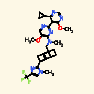 COc1cnc(-c2c(OC)ncnc2C2CC2)nc1N(C)CC12C3=C4C1C1C2C3C41c1nc(C(F)(F)F)cn1C